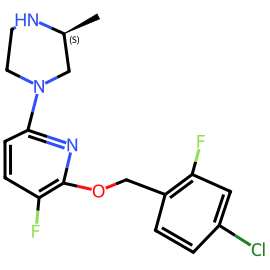 C[C@H]1CN(c2ccc(F)c(OCc3ccc(Cl)cc3F)n2)CCN1